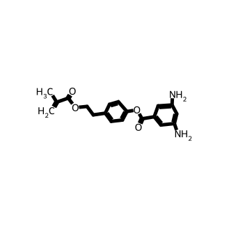 C=C(C)C(=O)OCCc1ccc(OC(=O)c2cc(N)cc(N)c2)cc1